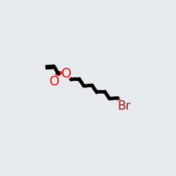 C=CC(=O)OCCCCCCCCBr